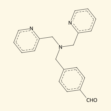 O=Cc1ccc(CN(Cc2ccccn2)Cc2ccccn2)cc1